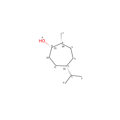 CC(C)[C@H]1CC[C@@H](C)[C@@H](O)CC1